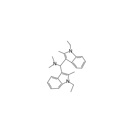 CCn1c(C)c(C(c2c(C)n(CC)c3ccccc23)N(C)C)c2ccccc21